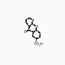 O=C(O)c1ccc2oc3ncccc3c(=O)c2c1